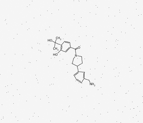 CC(C)(O)c1ccc(C(=O)N2CCC(c3cccc(CN)c3)CC2)cc1O